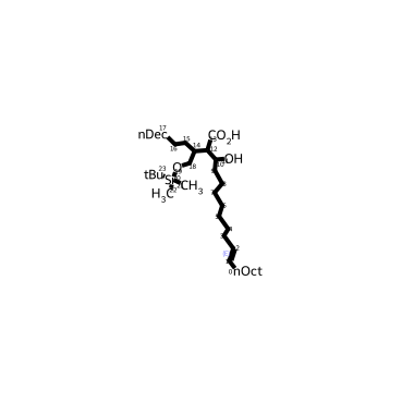 CCCCCCCC/C=C/CCCCCCCC(O)C(C(=O)O)C(CCCCCCCCCCCC)CO[Si](C)(C)C(C)(C)C